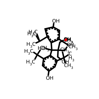 CC(C)(C)c1cc(O)cc(C(C)(C)C)c1C(O)(c1c(C(C)(C)C)cc(O)cc1C(C)(C)C)C(CO)(CO)CO